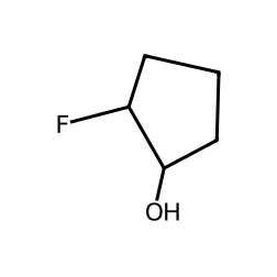 OC1CCCC1F